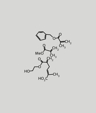 C=C(C)C(=O)OC.C=C(C)C(=O)OCc1ccccc1.C=C(CC=C(C)C(=O)O)C(=O)OCCO